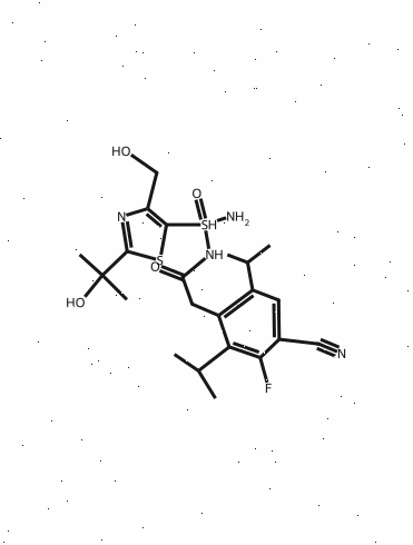 CC(C)c1cc(C#N)c(F)c(C(C)C)c1CC(=O)N[SH](N)(=O)c1sc(C(C)(C)O)nc1CO